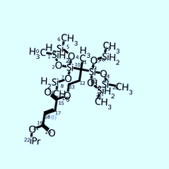 C[SiH2]O[Si](O[SiH2]C)(O[SiH2]C)C(C)(CCOC(=O)/C=C/C(=O)OC(C)C)[Si](O[SiH2]C)(O[SiH2]C)O[SiH2]C